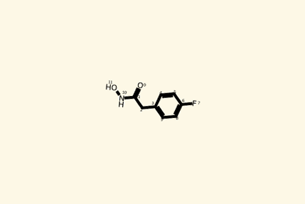 O=C(Cc1ccc(F)cc1)NO